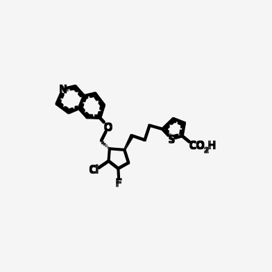 O=C(O)c1ccc(CCC[C@H]2CC(F)C(Cl)[C@@H]2COc2ccc3cnccc3c2)s1